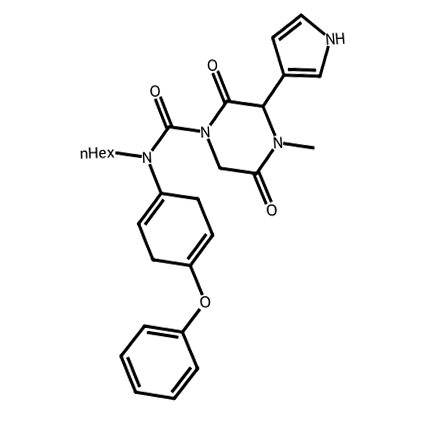 CCCCCCN(C(=O)N1CC(=O)N(C)C(c2cc[nH]c2)C1=O)C1=CCC(Oc2ccccc2)=CC1